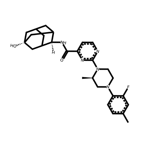 Cc1ccc(N2CCN(c3nccc(C(=O)N[C@H]4C5CC6CC4C[C@](O)(C6)C5)n3)[C@H](C)C2)c(F)c1